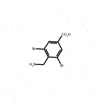 NCc1c(Br)cc(C(=O)O)cc1Br